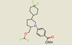 COC(=O)c1ccc(N2CC(C3CCC(F)(F)CC3)CCC2COC(F)F)cc1